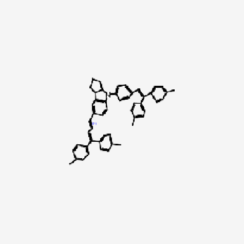 Cc1ccc(C(=C/C=C/c2ccc3c(c2)C2CCCC2N3c2ccc(C=C(c3ccc(C)cc3)c3ccc(C)cc3)cc2)c2ccc(C)cc2)cc1